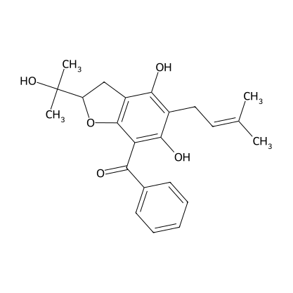 CC(C)=CCc1c(O)c2c(c(C(=O)c3ccccc3)c1O)OC(C(C)(C)O)C2